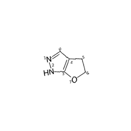 c1n[nH]c2c1CCO2